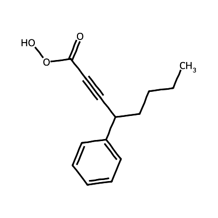 CCCCC(C#CC(=O)OO)c1ccccc1